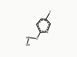 OBOc1ccc(F)cn1